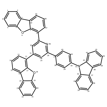 c1ccc2c(c1)oc1c(-c3cc(-c4cccc5c4oc4ccccc45)nc(-c4ccc(-n5c6ccccc6c6ccccc65)cc4)n3)cccc12